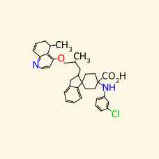 C[C@@H](COc1ccnc2c1[C@H](C)CC=C2)CC1Cc2ccccc2C12CCC(Nc1cccc(Cl)c1)(C(=O)O)CC2